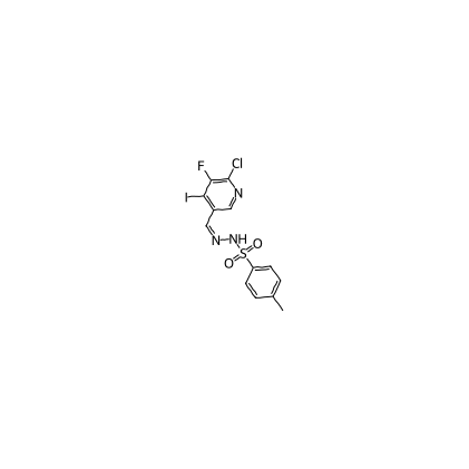 Cc1ccc(S(=O)(=O)N/N=C\c2cnc(Cl)c(F)c2I)cc1